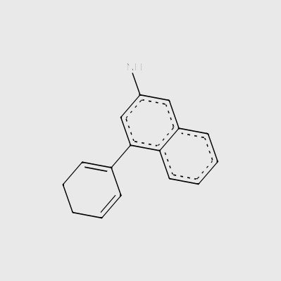 Nc1cc(C2=CCCC=C2)c2ccccc2c1